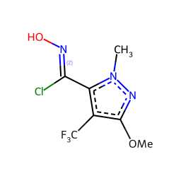 COc1nn(C)c(/C(Cl)=N/O)c1C(F)(F)F